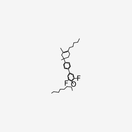 CCCCCCC(C)Oc1c(F)cc(-c2ccc(C3(C)CCC(CCCCC)=C(C)C3)cc2)cc1F